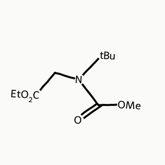 CCOC(=O)CN(C(=O)OC)C(C)(C)C